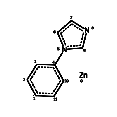 [Zn].[c]1ccc(-n2ccnc2)cc1